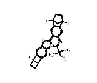 CC(C)(C)c1nc2cc3c(cc2c2nc4cc5c(cc4n12)C1CC[C@@H]51)[C@@H]1CC[C@H]3C1